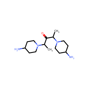 CC(C(=O)C(C)N1CCC(N)CC1)N1CCC(N)CC1